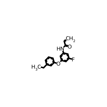 C=CC(=O)Nc1cc(F)cc(Oc2cccc(CC)c2)c1